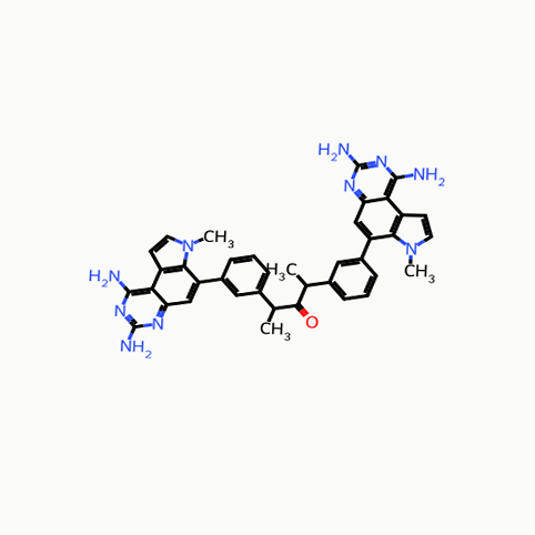 CC(C(=O)C(C)c1cccc(-c2cc3nc(N)nc(N)c3c3ccn(C)c23)c1)c1cccc(-c2cc3nc(N)nc(N)c3c3ccn(C)c23)c1